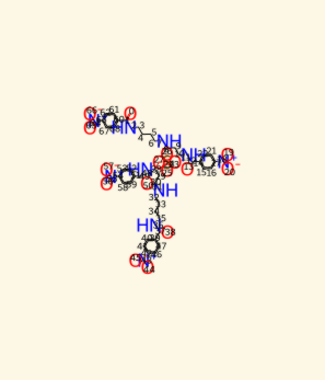 O=C(NCCCCNCCC(NC(=O)c1ccc([N+](=O)[O-])cc1)OS(=O)(=O)OC(CCNCCCCNC(=O)c1ccc([N+](=O)[O-])cc1)NC(=O)c1ccc([N+](=O)[O-])cc1)c1ccc([N+](=O)[O-])cc1